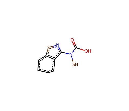 O=C(O)N(S)c1nsc2ccccc12